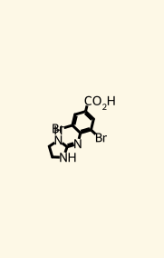 O=C(O)c1cc(Br)c(N=C2NCCN2)c(Br)c1